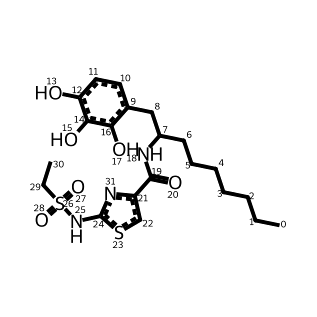 CCCCCCCC(Cc1ccc(O)c(O)c1O)NC(=O)c1csc(NS(=O)(=O)CC)n1